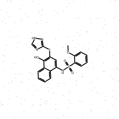 COc1ccccc1S(=O)(=O)Nc1cc(Sc2nc[nH]n2)c(O)c2ccccc12